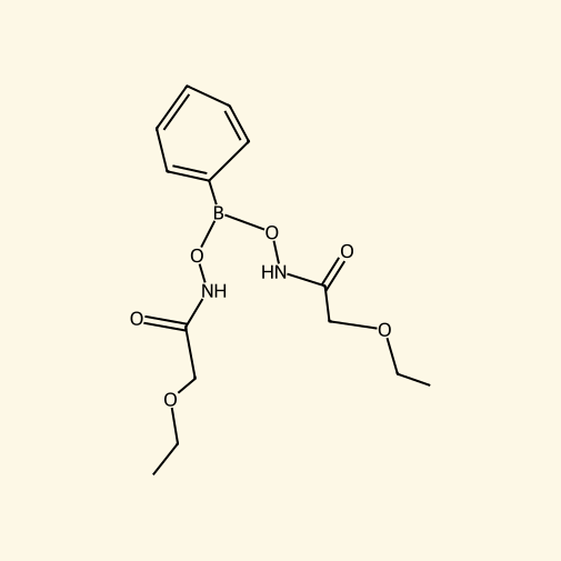 CCOCC(=O)NOB(ONC(=O)COCC)c1ccccc1